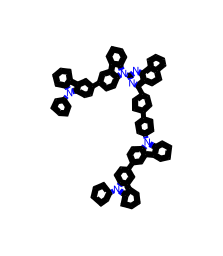 c1ccc(-n2c3ccccc3c3cc(-c4ccc5c(c4)c4ccccc4n5-c4ccc(-c5ccc(-c6nc(-n7c8ccccc8c8cc(-c9ccc%10c(c9)c9ccccc9n%10-c9ccccc9)ccc87)nc7c6ccc6ccccc67)cc5)cc4)ccc32)cc1